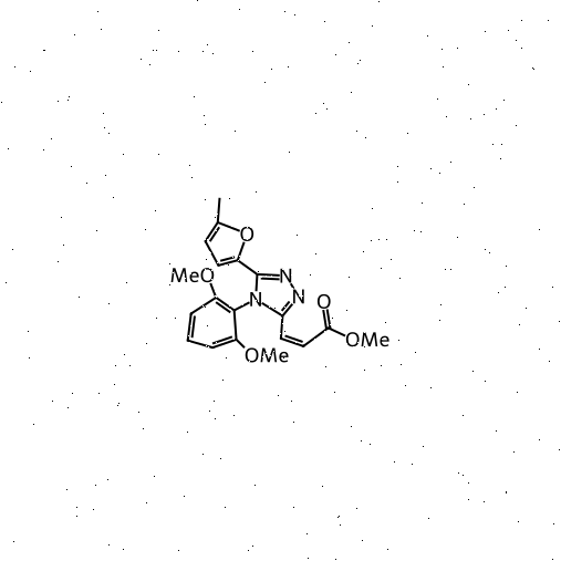 COC(=O)/C=C\c1nnc(-c2ccc(C)o2)n1-c1c(OC)cccc1OC